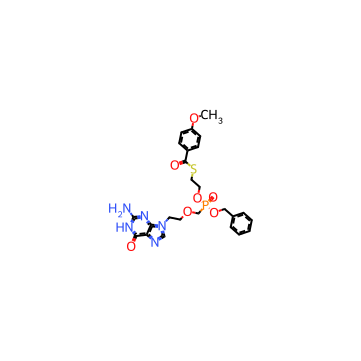 COc1ccc(C(=O)SCCOP(=O)(COCCn2cnc3c(=O)[nH]c(N)nc32)OCc2ccccc2)cc1